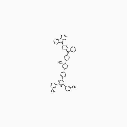 N#Cc1cccc(-c2cc(-c3ccc(-c4ccc(-c5ccc(-n6c7ccccc7c7cc(-n8c9ccccc9c9ccccc98)ccc76)cc5)c(C#N)c4)cc3)nc(-c3cccc(C#N)c3)n2)c1